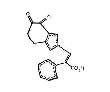 O=C(O)C(=Cn1cc2c(c1)C(=O)C(=O)CC2)c1ccccc1